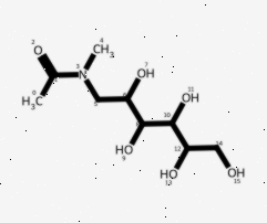 CC(=O)N(C)CC(O)C(O)C(O)C(O)CO